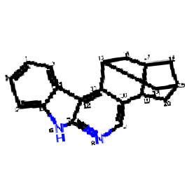 c1ccc2c(c1)[nH]c1ncc3c(c12)C1CC2CC(C1)C3C2